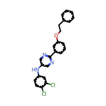 Clc1ccc(Nc2cnc(-c3cccc(OCCc4ccccc4)c3)nc2)cc1Cl